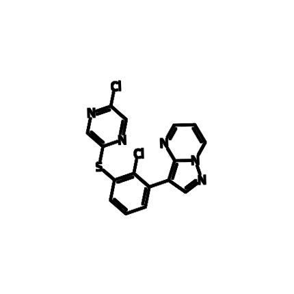 Clc1cnc(Sc2cccc(-c3cnn4cccnc34)c2Cl)cn1